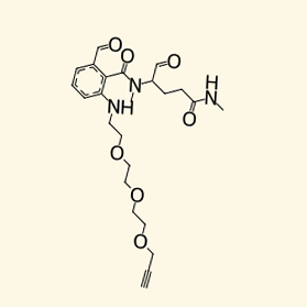 C#CCOCCOCCOCCNc1cccc(C=O)c1C(=O)N(C)C(C=O)CCC(=O)NC